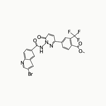 COC(=O)c1ccc(-c2ccc(=O)n(NC(=O)c3ccc4ncc(Br)cc4c3)n2)cc1C(F)(F)F